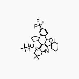 CC1(C)Cc2nc3c(c(C4CCCC4)c2[C@@H](O[Si](C)(C)C(C)(C)C)C1)C(c1ccc(C(F)(F)F)cc1)OC31CCCCC1I